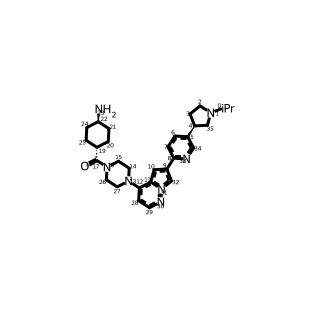 CC(C)N1CC[C@H](c2ccc(-c3cc4c(N5CCN(C(=O)[C@H]6CC[C@H](N)CC6)CC5)ccnn4c3)nc2)C1